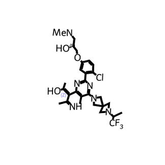 CNC[C@@H](O)COc1ccc(Cl)c(-c2nc(/C(C(C)=N)=C(\C)O)c(C)c(N3CC4(C3)CN(C(C)C(F)(F)F)C4)n2)c1